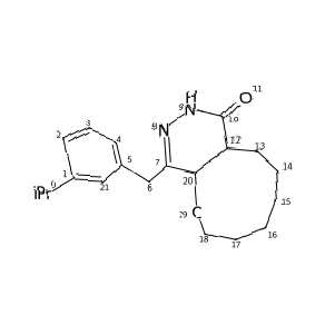 CC(C)c1cccc(CC2=NNC(=O)C3CCCCCCCC23)c1